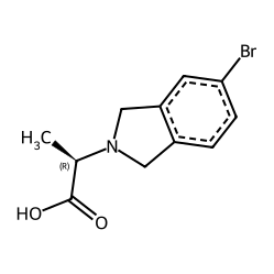 C[C@H](C(=O)O)N1Cc2ccc(Br)cc2C1